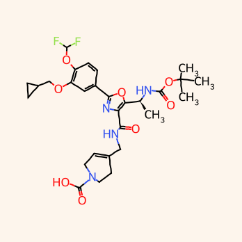 C[C@H](NC(=O)OC(C)(C)C)c1oc(-c2ccc(OC(F)F)c(OCC3CC3)c2)nc1C(=O)NCC1=CCN(C(=O)O)CC1